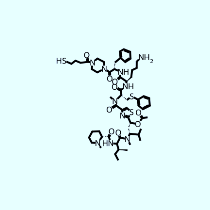 CC[C@H](C)C(NC(=O)[C@H]1CCCCN1C)C(=O)N(C)[C@H](C[C@@H](OC(C)=O)c1nc(C(=O)N(C)[C@@H](CSc2ccccc2)C(=O)N[C@H](CCCCN)C(=O)N[C@@H](Cc2ccccc2)C(=O)N2CCN(C(=O)CCCS)CC2)cs1)C(C)C